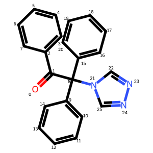 O=C(c1ccccc1)C(c1ccccc1)(c1ccccc1)n1cnnc1